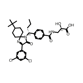 CCC[C@H](c1ccc(C(=O)NC[C@@H](O)C(=O)O)cc1)N1C(=O)C(c2cc(Cl)cc(Cl)c2)=NC12CCC(C(C)(C)C)CC2